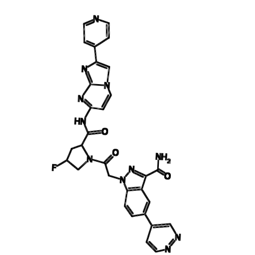 NC(=O)c1nn(CC(=O)N2CC(F)CC2C(=O)Nc2ccn3cc(-c4ccncc4)nc3n2)c2ccc(-c3ccnnc3)cc12